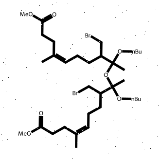 CCCCOC(C)(OC(C)(OCCCC)C(CBr)CCC=C(C)CCC(=O)OC)C(CBr)CCC=C(C)CCC(=O)OC